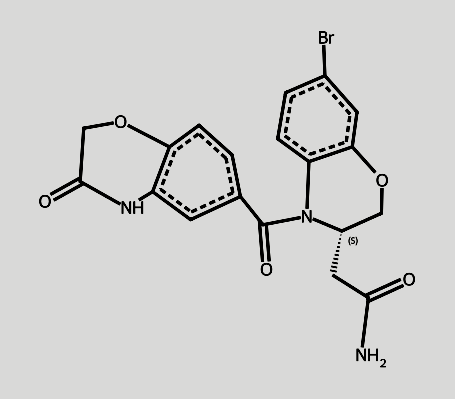 NC(=O)C[C@H]1COc2cc(Br)ccc2N1C(=O)c1ccc2c(c1)NC(=O)CO2